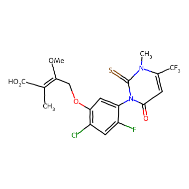 COC(COc1cc(-n2c(=O)cc(C(F)(F)F)n(C)c2=S)c(F)cc1Cl)=C(C)C(=O)O